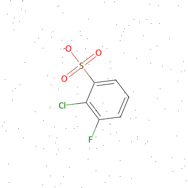 [O]S(=O)(=O)c1cccc(F)c1Cl